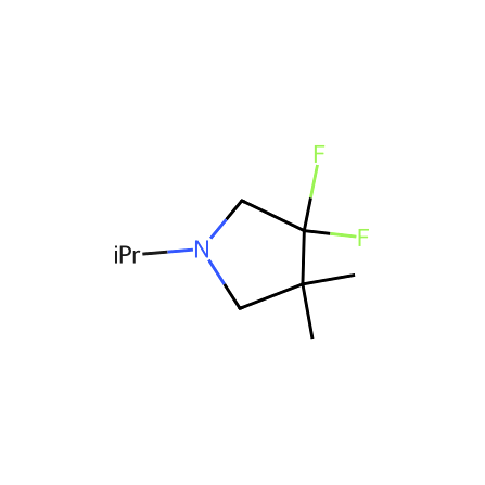 CC(C)N1CC(C)(C)C(F)(F)C1